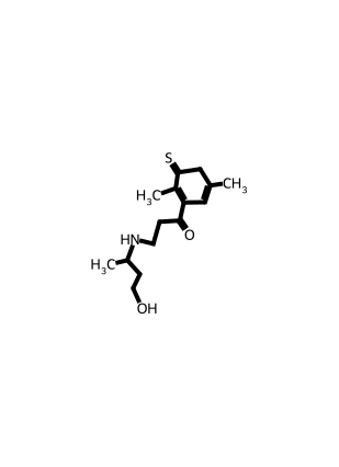 CC1=CC(C(=O)CCNC(C)CCO)=C(C)C(=S)C1